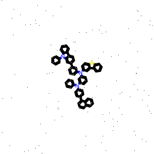 c1ccc(N(c2ccc(-c3cccc4ccccc34)cc2)c2cccc(N(c3cccc(-c4ccc5c6ccccc6n(-c6ccccc6)c5c4)c3)c3ccc4sc5ccccc5c4c3)c2)cc1